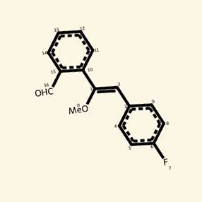 CO/C(=C\c1ccc(F)cc1)c1ccccc1C=O